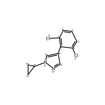 Clc1cccc(Cl)c1-c1cnn(C2CC2)c1